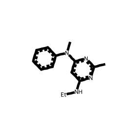 CCNc1cc(N(C)c2ccccc2)nc(C)n1